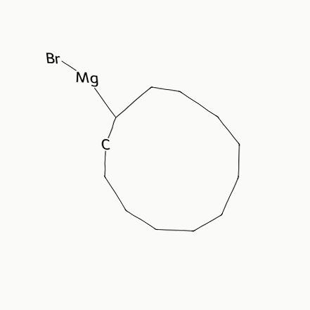 [Br][Mg][CH]1CCCCCCCCCCC1